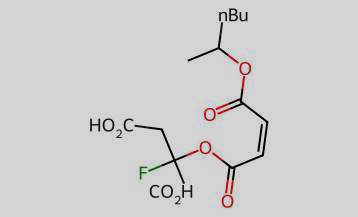 CCCCC(C)OC(=O)/C=C\C(=O)OC(F)(CC(=O)O)C(=O)O